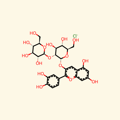 OC[C@H]1O[C@@H](O[C@H]2[C@@H](Oc3cc4c(O)cc(O)cc4[o+]c3-c3ccc(O)c(O)c3)O[C@H](CO)[C@@H](O)[C@@H]2O)[C@H](O)[C@@H](O)[C@@H]1O.[Cl-]